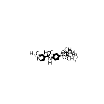 Cc1cc(C(=O)Nc2ccc(B3OC(C)(C)C(C)(C)O3)cc2C)ccn1